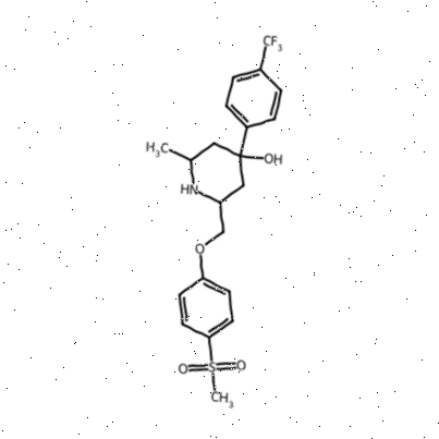 CC1CC(O)(c2ccc(C(F)(F)F)cc2)CC(COc2ccc(S(C)(=O)=O)cc2)N1